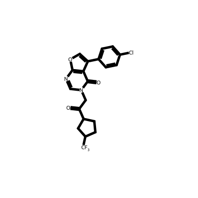 O=C(Cn1cnc2occ(-c3ccc(Cl)cc3)c2c1=O)C1CCC(C(F)(F)F)C1